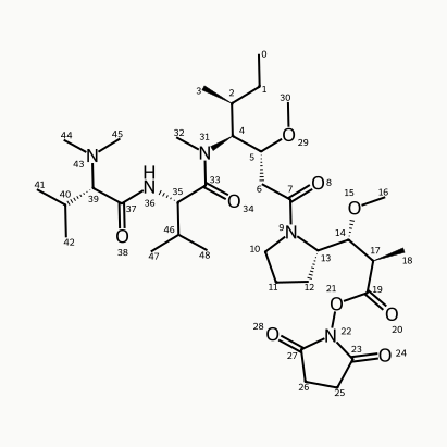 CC[C@H](C)[C@@H]([C@@H](CC(=O)N1CCC[C@H]1[C@H](OC)[C@@H](C)C(=O)ON1C(=O)CCC1=O)OC)N(C)C(=O)[C@@H](NC(=O)[C@H](C(C)C)N(C)C)C(C)C